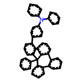 c1ccc(N(c2ccccc2)c2ccc(-c3cccc(C4(c5ccccc5)c5ccccc5-c5ccccc5-c5ccccc54)c3)cc2)cc1